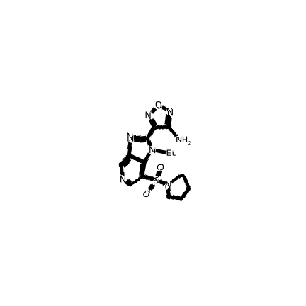 CCn1c(-c2nonc2N)nc2cncc(S(=O)(=O)N3CCCC3)c21